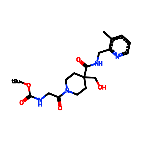 Cc1cccnc1CNC(=O)C1(CO)CCN(C(=O)CNC(=O)OC(C)(C)C)CC1